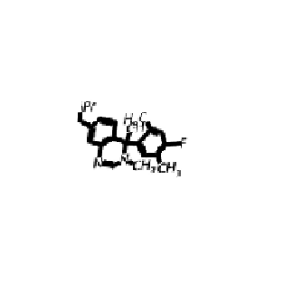 Cc1cc(C2(C)c3ccc(CC(C)C)cc3N=CN2C)c(C)cc1F